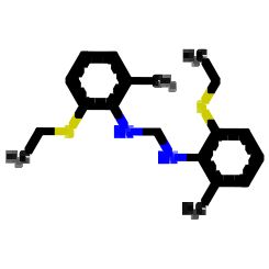 CCSc1cccc(C)c1NCNc1c(C)cccc1SCC